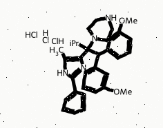 COc1cccc(C(c2cccc(OC)c2)C(c2nc(-c3ccccc3)[nH]c2C)(C(C)C)N2CCNCC2)c1.Cl.Cl.Cl